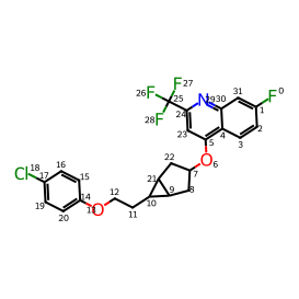 Fc1ccc2c(OC3CC4C(CCOc5ccc(Cl)cc5)C4C3)cc(C(F)(F)F)nc2c1